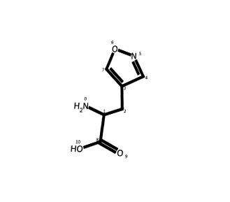 NC(Cc1cnoc1)C(=O)O